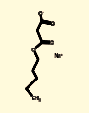 CCCCCOC(=O)CC(=O)[O-].[Na+]